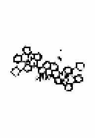 C=Cc1c(N(c2ccc(C3CCCCC3)cc2)c2cccc3c2oc2c(-c4ccccc4C(C)C)cccc23)cc(C(C)C)c2ccc3c(N(c4ccc(C5CCCCC5)cc4)c4cccc5c4oc4c(-c6ccccc6C(C)C)cccc45)cc(C(C)C)c(C)c3c12